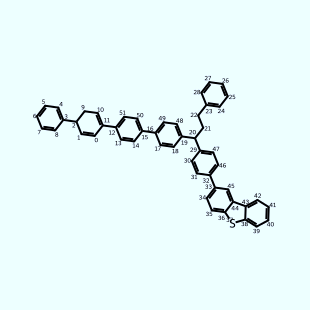 C1=CC(c2ccccc2)CC=C1c1ccc(-c2ccc(C(CCc3ccccc3)c3ccc(-c4ccc5sc6ccccc6c5c4)cc3)cc2)cc1